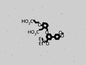 CCN(CC)C(=O)c1cc(OCc2cccc(OCCCC(=O)O)c2CCC(=O)O)cc(-c2ccc3c(c2)OCO3)c1